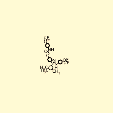 C[C@H]1C[C@H](n2c(Nc3ccc(OC(F)(F)F)cc3)nc3cc(OCC(=O)Nc4ccc(OC(F)(F)F)cc4)ccc32)CC(C)(C)C1